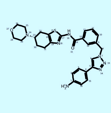 Nc1ccc(-c2cn(Cc3cccc(C(=O)Nc4nc5c(s4)C[C@@H](N4CCOCC4)CC5)c3)nn2)cc1